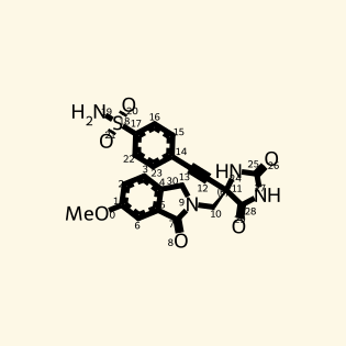 COc1ccc2c(c1)C(=O)N(C[C@@]1(C#Cc3ccc(S(N)(=O)=O)cc3)NC(=O)NC1=O)C2